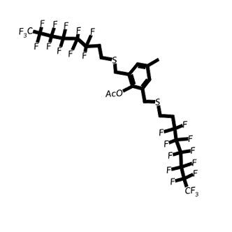 CC(=O)Oc1c(CSCCC(F)(F)C(F)(F)C(F)(F)C(F)(F)C(F)(F)C(F)(F)F)cc(C)cc1CSCCC(F)(F)C(F)(F)C(F)(F)C(F)(F)C(F)(F)C(F)(F)F